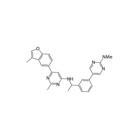 CNc1ncc(-c2cccc(C(C)Nc3cc(-c4ccc5occ(C)c5c4)nc(C)n3)c2)cn1